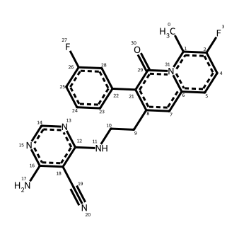 Cc1c(F)ccc2cc(CCNc3ncnc(N)c3C#N)c(-c3cccc(F)c3)c(=O)n12